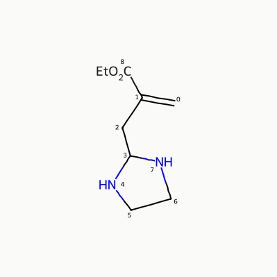 C=C(CC1NCCN1)C(=O)OCC